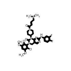 COc1cc(OC)c(Cl)c(N2Cc3cnc(Nc4ccc(F)c(F)c4)nc3N(C3CCN(C(=O)C=CCN(C)C)CC3)C2=O)c1Cl